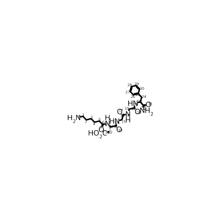 NCCCCCC(=O)N[C@@H](CC(=O)O)C(=O)NCC(=O)NCC(=O)NC(Cc1ccccc1)C(N)=O